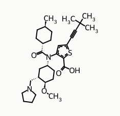 CO[C@@H]1CC[C@@H](N(c2cc(C#CC(C)(C)C)sc2C(=O)O)C(=O)[C@H]2CC[C@H](C)CC2)C[C@H]1CN1CCCC1